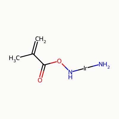 C=C(C)C(=O)O[NH][Ir][NH2]